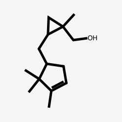 CC1=CCC(CC2CC2(C)CO)C1(C)C